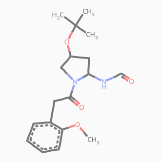 COc1ccccc1CC(=O)N1CC(OC(C)(C)C)CC1NC=O